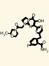 C[C@H]1CN(C(=O)Cn2ccn3c(=O)c(O)c(-c4ncc(Cc5ccc(F)cc5C(N)=O)s4)nc23)CCO1